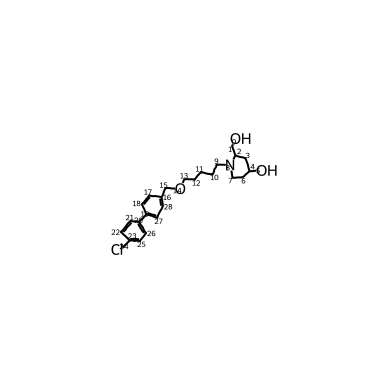 OCC1CC(O)CCN1CCCCCOCc1ccc(-c2ccc(Cl)cc2)cc1